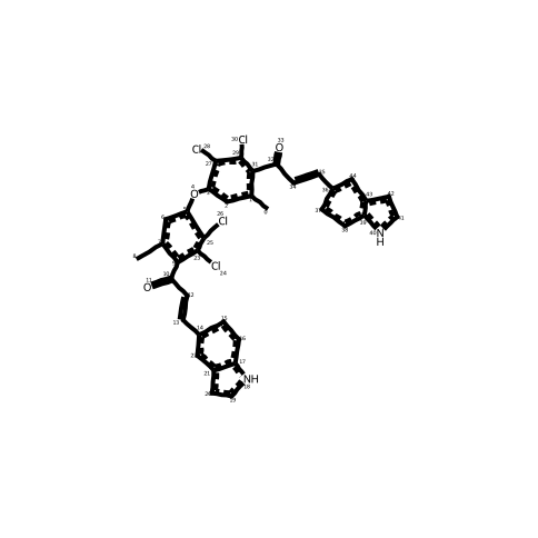 Cc1cc(Oc2cc(C)c(C(=O)C=Cc3ccc4[nH]ccc4c3)c(Cl)c2Cl)c(Cl)c(Cl)c1C(=O)C=Cc1ccc2[nH]ccc2c1